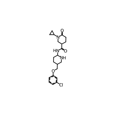 O=C(NC1CCC(COc2cccc(Cl)c2)CN1)C1CCC(=O)N(C2CC2)C1